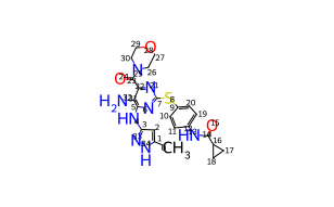 Cc1cc(Nc2nc(Sc3ccc(NC(=O)C4CC4)cc3)nc(C(=O)N3CCOCC3)c2N)n[nH]1